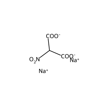 O=C([O-])C(C(=O)[O-])[N+](=O)[O-].[Na+].[Na+]